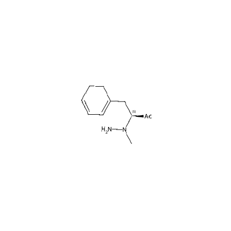 CC(=O)[C@H](CC1=CC=CCC1)N(C)N